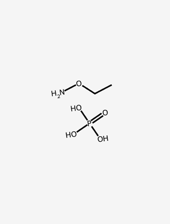 CCON.O=P(O)(O)O